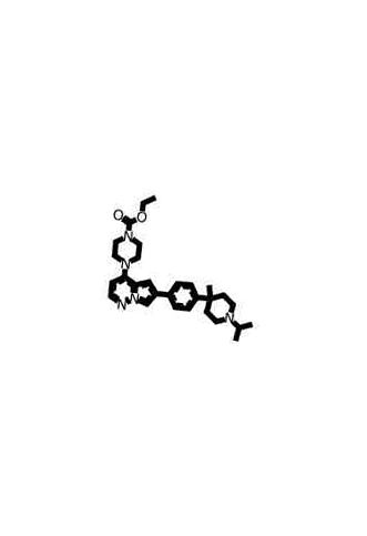 CCOC(=O)N1CCN(c2ccnn3cc(-c4ccc(C5(C)CCN(C(C)C)CC5)cc4)cc23)CC1